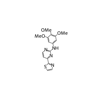 COc1cc(Nc2nccc(-c3nccs3)n2)cc(OC)c1OC